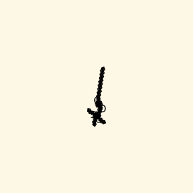 CCCCCCCCCCCCCCCCCCOc1ccc(C(=O)C=Cc2cc(SCCCC)c(SCCCC)c(SCCCC)c2)cc1